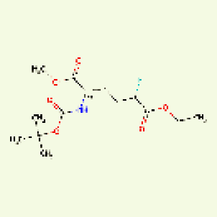 CCOC(=O)C(F)CC[C@H](NC(=O)OC(C)(C)C)C(=O)OC